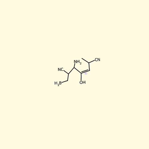 BCC(C#N)C(N)/C(O)=C\C(C)C#N